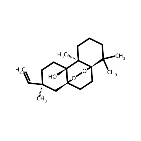 C=C[C@@]1(C)CC[C@@]2(O)[C@]3(CC[C@@]4(OO3)C(C)(C)CCC[C@]24C)C1